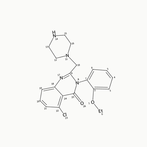 CCOc1ccccc1-n1c(CN2CCNCC2)nc2cccc(Cl)c2c1=O